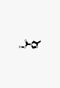 CCOC(=O)n1cnc(I)c1